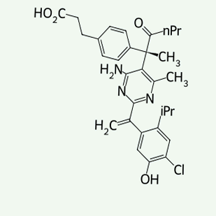 C=C(c1nc(C)c([C@@](C)(C(=O)CCC)c2ccc(CCC(=O)O)cc2)c(N)n1)c1cc(O)c(Cl)cc1C(C)C